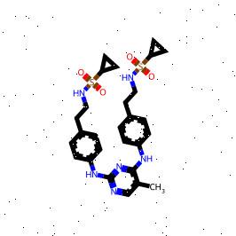 Cc1cnc(Nc2ccc(CCNS(=O)(=O)C3CC3)cc2)nc1Nc1ccc(CCNS(=O)(=O)C2CC2)cc1